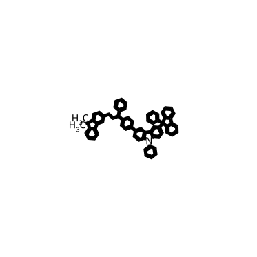 CC1(C)c2ccccc2-c2cc(CCC(C3=CC=C(c4ccc5c(c4)c4cc(C6(c7ccccc7)c7ccccc7-c7ccccc76)ccc4n5-c4ccccc4)CC3)c3ccccc3)ccc21